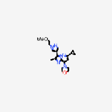 COCCn1cc(-c2c(C)nc3c(N4CCOCC4)cc(C4CC4)nn23)cn1